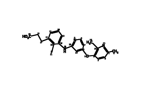 Cc1ccc(Oc2ccnc(Nc3cccc(CCC(=O)O)c3F)c2)c(C)n1